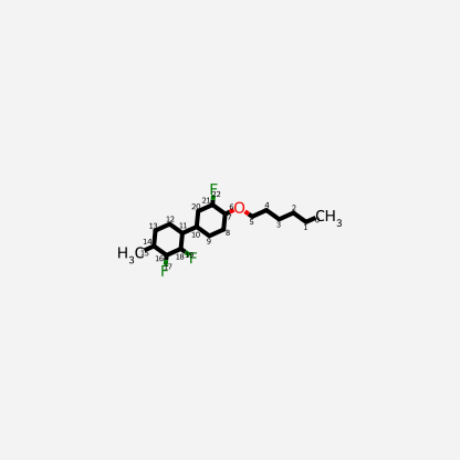 CCCCCCOC1CCC(C2CCC(C)C(F)C2F)CC1F